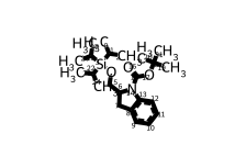 CC(C)[Si](OCC1Cc2ccccc2N1C(=O)OC(C)(C)C)(C(C)C)C(C)C